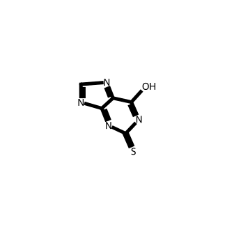 OC1=NC(=S)N=C2N=CN=C12